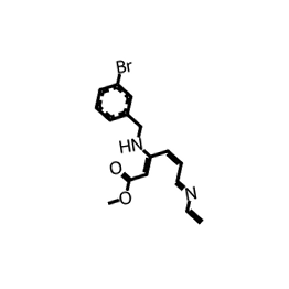 C=C/N=C/C=C\C(=C\C(=O)OC)NCc1cccc(Br)c1